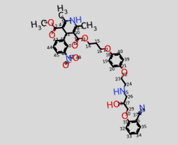 COC(=O)C1=C(C)NC(C)=C(C(=O)OCCCOc2ccc(OCCNCC(O)COc3ccccc3C#N)cc2)C1c1cccc([N+](=O)[O-])c1